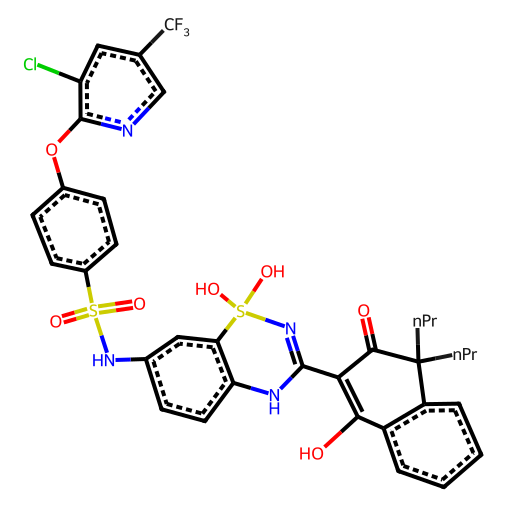 CCCC1(CCC)C(=O)C(C2=NS(O)(O)c3cc(NS(=O)(=O)c4ccc(Oc5ncc(C(F)(F)F)cc5Cl)cc4)ccc3N2)=C(O)c2ccccc21